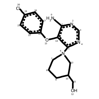 Nc1ncnc(N2CCCC(CO)C2)c1Oc1ccc(Cl)cc1